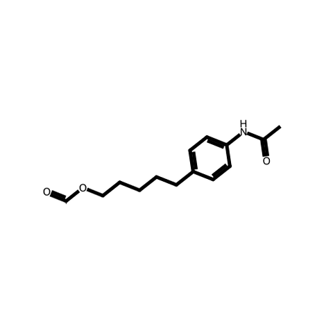 CC(=O)Nc1ccc(CCCCCO[C]=O)cc1